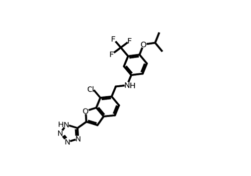 CC(C)Oc1ccc(NCc2ccc3cc(-c4nnn[nH]4)oc3c2Cl)cc1C(F)(F)F